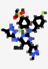 COc1c(Nc2cc(C)[nH]n2)nc(N(Cc2ccc(F)cc2)c2ccc(S(C)(=O)=O)cc2F)nc1-c1cnn(C)c1